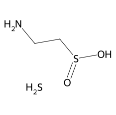 NCCS(=O)O.S